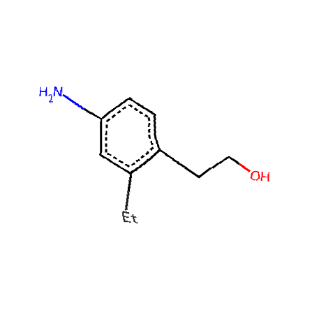 CCc1cc(N)ccc1CCO